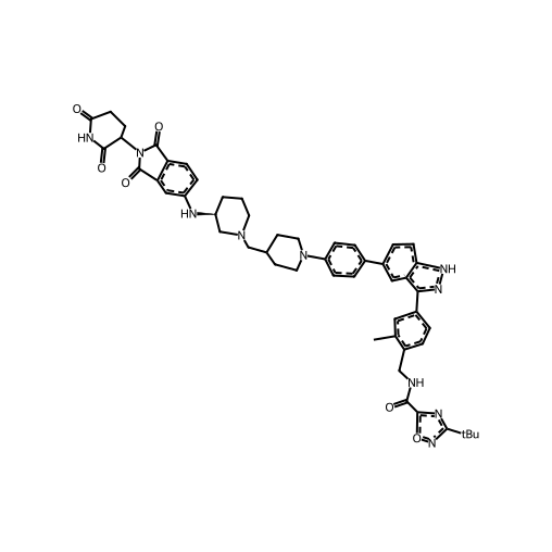 Cc1cc(-c2n[nH]c3ccc(-c4ccc(N5CCC(CN6CCC[C@H](Nc7ccc8c(c7)C(=O)N(C7CCC(=O)NC7=O)C8=O)C6)CC5)cc4)cc23)ccc1CNC(=O)c1nc(C(C)(C)C)no1